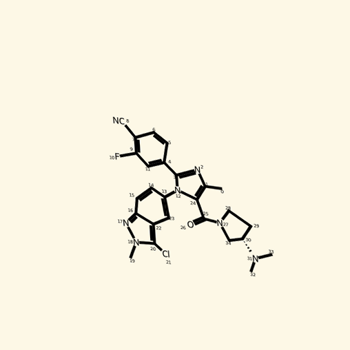 Cc1nc(-c2ccc(C#N)c(F)c2)n(-c2ccc3nn(C)c(Cl)c3c2)c1C(=O)N1CC[C@H](N(C)C)C1